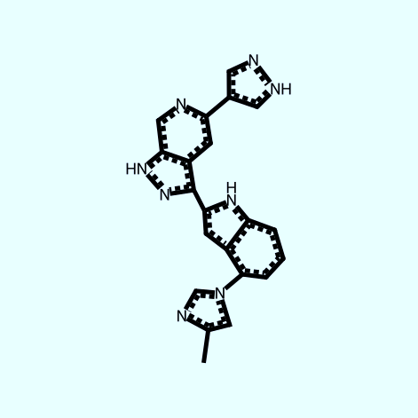 Cc1cn(-c2cccc3[nH]c(-c4n[nH]c5cnc(-c6cn[nH]c6)cc45)cc23)cn1